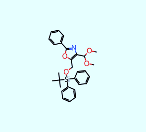 COC(OC)c1nc(-c2ccccc2)oc1CO[Si](c1ccccc1)(c1ccccc1)C(C)(C)C